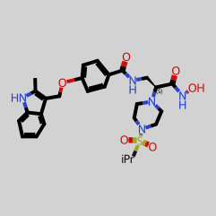 Cc1[nH]c2ccccc2c1COc1ccc(C(=O)NC[C@@H](C(=O)NO)N2CCN(S(=O)(=O)C(C)C)CC2)cc1